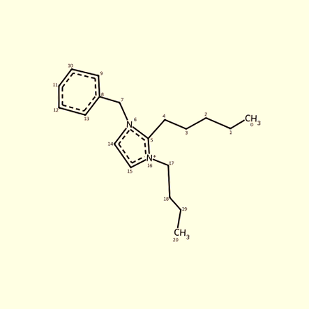 CCCCCc1n(Cc2ccccc2)cc[n+]1CCCC